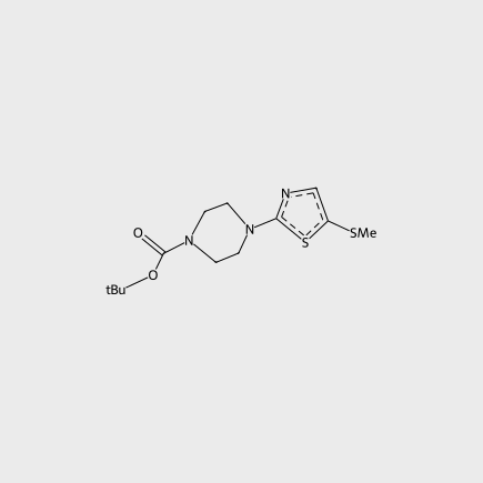 CSc1cnc(N2CCN(C(=O)OC(C)(C)C)CC2)s1